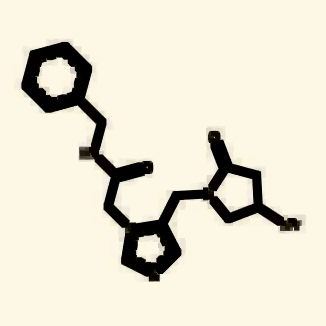 CCCC1CC(=O)N(Cc2cncn2CC(=O)NCc2ccccc2)C1